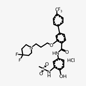 CS(=O)(=O)Nc1cc(NC(=O)c2ccc(-c3ccc(C(F)(F)F)cc3)cc2OCCCN2CCC(F)(F)CC2)ccc1O.Cl